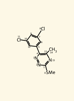 CSc1nnc(-c2cc(Cl)cc(Cl)c2)c(C)n1